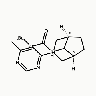 Cc1cc(N2C[C@H]3CC[C@@H](C2)C3NC(=O)OC(C)(C)C)ncn1